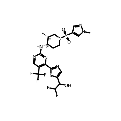 C[C@@H]1CN(S(=O)(=O)c2cnn(C)c2)CC[C@@H]1Nc1ncc(C(F)(F)F)c(-c2ncc(C(O)C(F)F)s2)n1